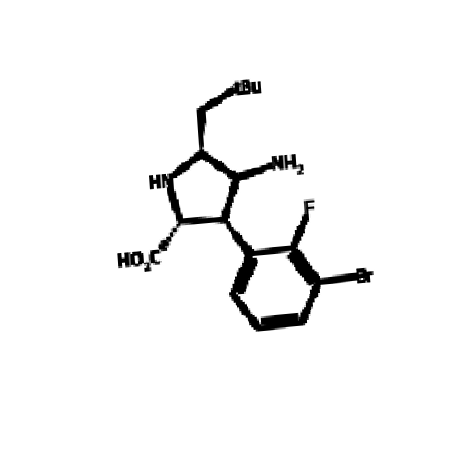 CC(C)(C)C[C@@H]1N[C@@H](C(=O)O)[C@H](c2cccc(Br)c2F)C1N